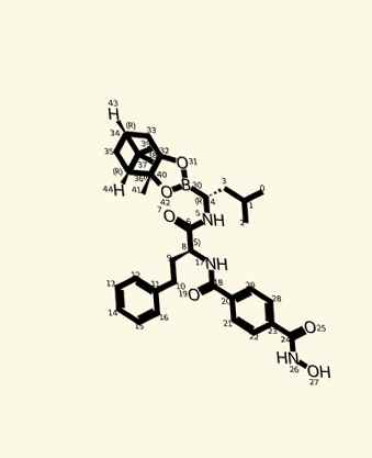 CC(C)C[C@H](NC(=O)[C@H](CCc1ccccc1)NC(=O)c1ccc(C(=O)NO)cc1)B1OC2C[C@H]3C[C@H](C3(C)C)[C@@]2(C)O1